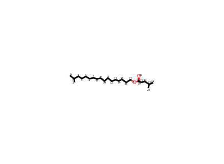 CC(C)CCCCCCCCCCCCCCCOC(=O)CCC(C)C